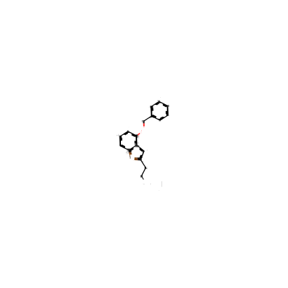 CCOC(=O)CCc1cc2c(OCc3ccccc3)cccc2s1